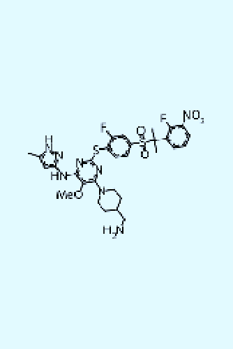 COc1c(Nc2cc(C)[nH]n2)nc(Sc2ccc(S(=O)(=O)C(C)(C)c3cccc([N+](=O)[O-])c3F)cc2F)nc1N1CCC(CN)CC1